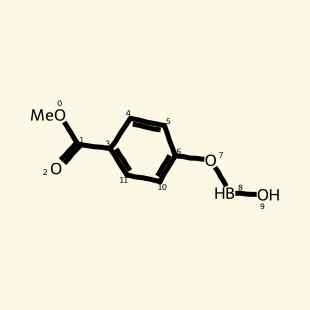 COC(=O)c1ccc(OBO)cc1